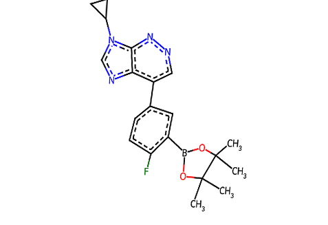 CC1(C)OB(c2cc(-c3cnnc4c3ncn4C3CC3)ccc2F)OC1(C)C